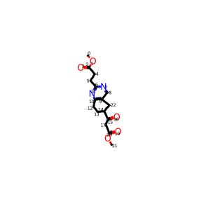 COC(=O)CCc1ncc2c(n1)CCC(C(=O)CC(=O)OC)C2